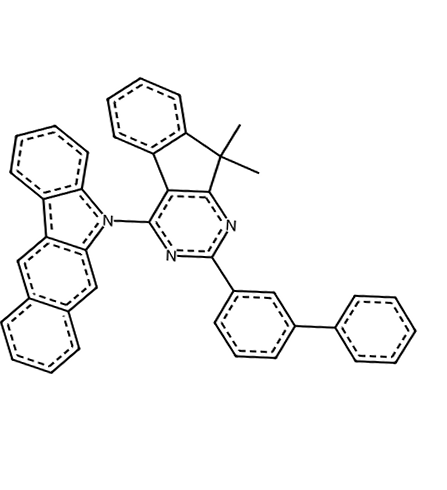 CC1(C)c2ccccc2-c2c(-n3c4ccccc4c4cc5ccccc5cc43)nc(-c3cccc(-c4ccccc4)c3)nc21